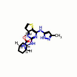 Cc1cc(Nc2nc(N[C@@H]3C[C@@H]4CC[C@@H]3N4C(=O)OC(C)(C)C)nc3ccsc23)[nH]n1